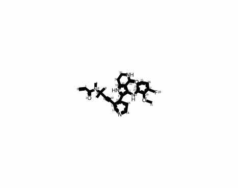 C=CC(=O)N(C)C(C)(C)C#Cc1cnccc1-c1[nH]c2c(c1Nc1cccc(F)c1OC)C(=O)NCC2